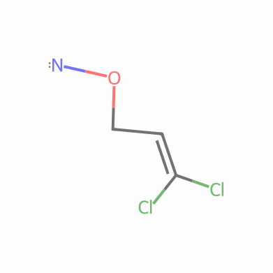 [N]OCC=C(Cl)Cl